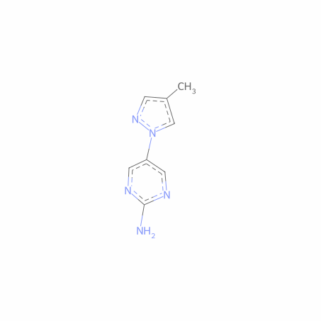 Cc1cnn(-c2cnc(N)nc2)c1